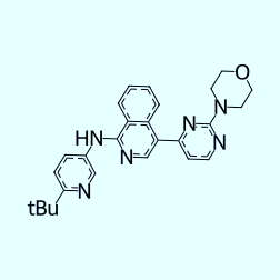 CC(C)(C)c1ccc(Nc2ncc(-c3ccnc(N4CCOCC4)n3)c3ccccc23)cn1